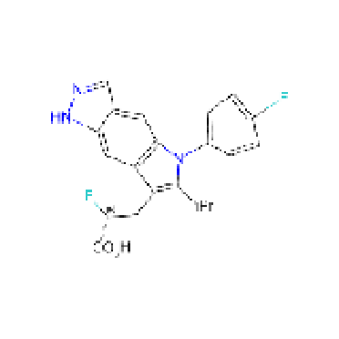 CC(C)c1c(C[C@@H](F)C(=O)O)c2cc3[nH]ncc3cc2n1-c1ccc(F)cc1